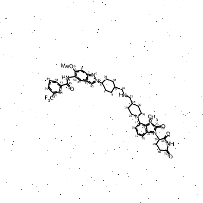 COc1cc2nn(C3CCC(CNCC4CCN(c5cccc6c5n(C)c(=O)n6C5CCC(=O)NC5=O)CC4)CC3)cc2cc1NC(=O)c1cccc(C(F)(F)F)n1